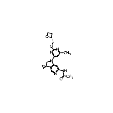 CC(=O)Nc1cc2c(cn1)C1(CC1)CN2c1cc(C)nc(OC[C@H]2CCO2)n1